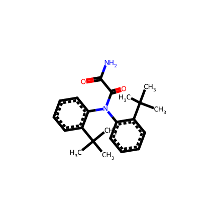 CC(C)(C)c1ccccc1N(C(=O)C(N)=O)c1ccccc1C(C)(C)C